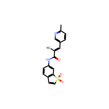 Cc1ccc(/C=C(\C#N)C(=O)Nc2ccc3c(c2)S(=O)(=O)C=C3)cn1